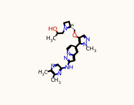 Cc1ncc(Nc2cc3cc(-c4c(OC[C@H]5CCN5CC(C)O)cnn4C)ccn3n2)nc1C